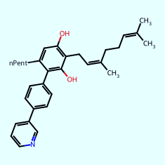 CCCCCc1cc(O)c(CC=C(C)CCC=C(C)C)c(O)c1-c1ccc(-c2cccnc2)cc1